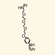 CCCSNc1ccc(OCCOCCOCCOCCNC(C)C)cc1